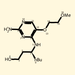 CCCC[C@@H](CCO)Nc1nc(N)ncc1OCCOC